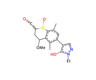 CCn1ncc(-c2cc(C)c3c(c2C)C(OC)CC(=C=O)[S+]3[O-])c1O